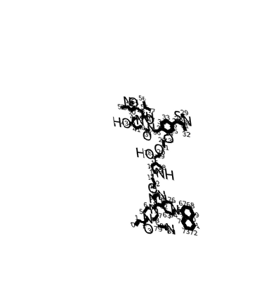 C=CC(=O)N1CCN(c2nc(OCC[C@@H]3C[C@@H](C(O)COCCOc4cc(-c5scnc5C)ccc4CNC(=O)[C@@H]4C[C@@H](O)CN4C(=O)[C@H](c4cc(C)no4)C(C)C)CN3)nc3c2CCN(c2cccc4ccccc24)C3)C[C@@H]1CC#N